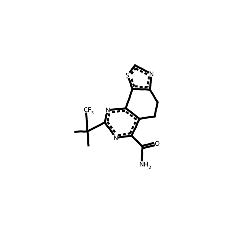 CC(C)(c1nc(C(N)=O)c2c(n1)-c1s[c]nc1CC2)C(F)(F)F